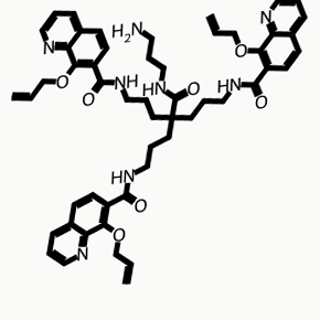 C=CCOc1c(C(=O)NCCCC(CCCNC(=O)c2ccc3cccnc3c2OCC=C)(CCCNC(=O)c2ccc3cccnc3c2OCC=C)C(=O)NCCCN)ccc2cccnc12